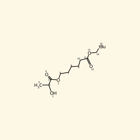 CC(O)C(=O)OCCCCCC(=O)OCC(C)(C)C